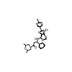 CCn1c(-c2cnc(C)nc2)nc2c(NC(CC(=O)N3CC(C)OC(C)C3)c3ccccc3)ncnc21